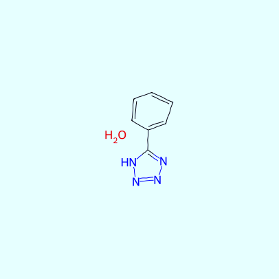 O.c1ccc(-c2nnn[nH]2)cc1